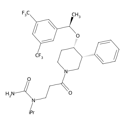 CC(C)N(CCC(=O)N1CC[C@H](O[C@H](C)c2cc(C(F)(F)F)cc(C(F)(F)F)c2)[C@H](c2ccccc2)C1)C(N)=O